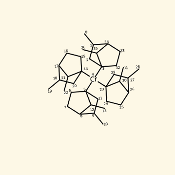 CC1C[C]2([Cr]([C]34CCC(C(C)C3)C4C)([C]34CCC(C(C)C3)C4C)[C]34CCC(C(C)C3)C4C)CCC1C2C